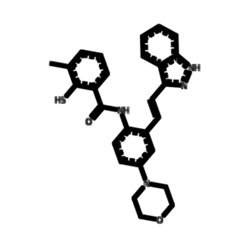 Cc1cccc(C(=O)Nc2ccc(N3CCOCC3)cc2/C=C/c2n[nH]c3ccccc23)c1S